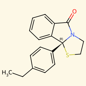 CCc1ccc([C@]23SCCN2C(=O)c2ccccc23)cc1